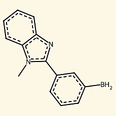 Bc1cccc(-c2nc3ccccc3n2C)c1